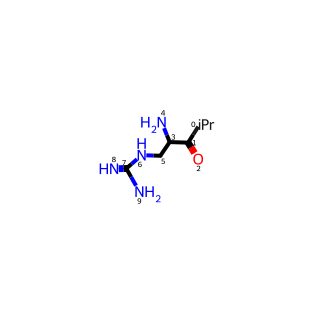 CC(C)C(=O)C(N)CNC(=N)N